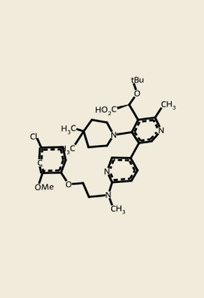 COc1cc(Cl)ccc1OCCN(C)c1ccc(-c2cnc(C)c([C@H](OC(C)(C)C)C(=O)O)c2N2CCC(C)(C)CC2)cn1